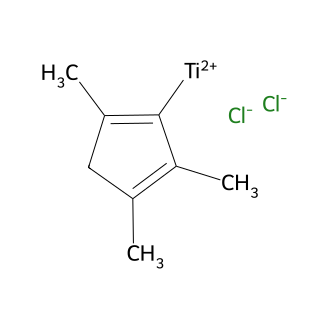 CC1=C(C)[C]([Ti+2])=C(C)C1.[Cl-].[Cl-]